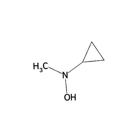 CN(O)C1CC1